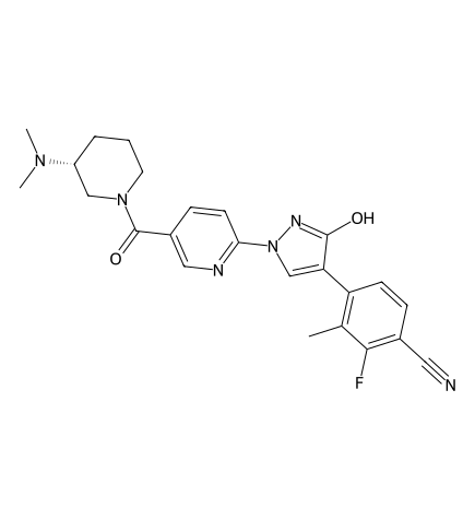 Cc1c(-c2cn(-c3ccc(C(=O)N4CCC[C@@H](N(C)C)C4)cn3)nc2O)ccc(C#N)c1F